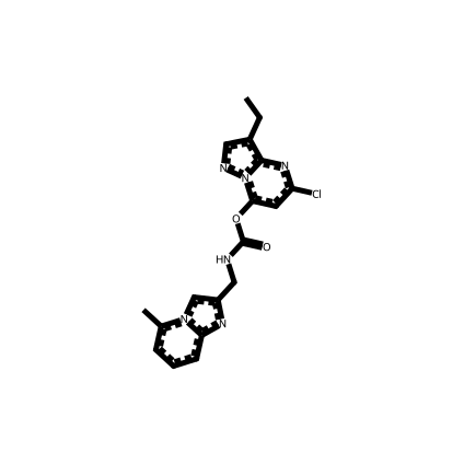 CCc1cnn2c(OC(=O)NCc3cn4c(C)cccc4n3)cc(Cl)nc12